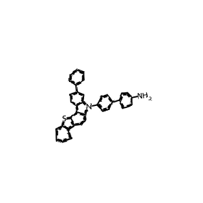 Nc1ccc(-c2ccc(-n3c4cc(-c5ccccc5)ccc4c4c5sc6ccccc6c5ccc43)cc2)cc1